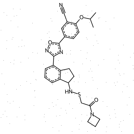 CC(C)Oc1ccc(-c2nc(-c3cccc4c3CCC4NSCC(=O)N3CCC3)no2)cc1C#N